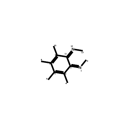 C/N=C1/C(C)=C(C)C(C)=C(C)/C1=N/C